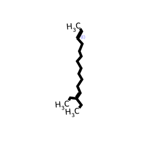 C/C=C/CCCCCCCCC=C(CC)CC